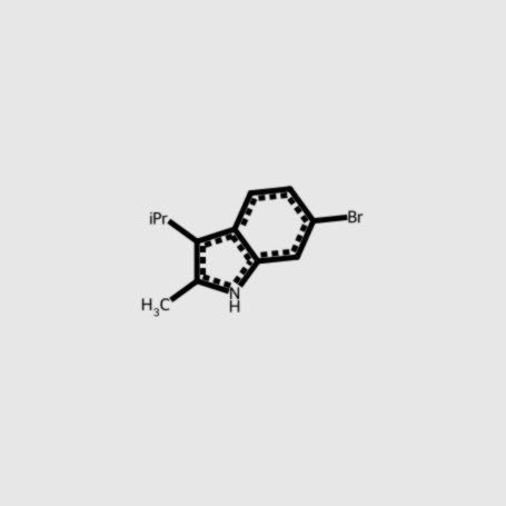 Cc1[nH]c2cc(Br)ccc2c1C(C)C